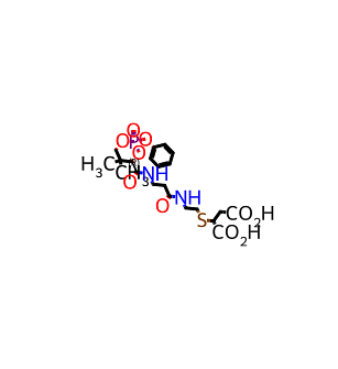 CC1(C)COP(=O)(Oc2ccccc2)O[C@H]1C(=O)NCCC(=O)NCCSC(CC(=O)O)C(=O)O